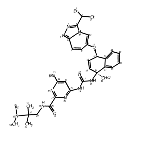 CCC(CC)c1nnc2ccc(O[C@@H]3C=C[C@](C=O)(NC(=O)Nc4cc(C(C)(C)C)nc(C(=O)NCC(C)(C)N(C)CC)n4)c4ccccc43)cn12